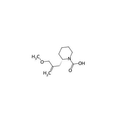 C=C(COC)C[C@@H]1CCCCN1C(=O)O